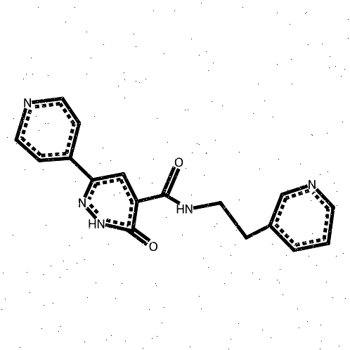 O=C(NCCc1cccnc1)c1cc(-c2ccncc2)n[nH]c1=O